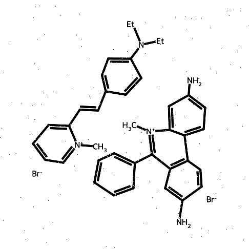 CCN(CC)c1ccc(C=Cc2cccc[n+]2C)cc1.C[n+]1c(-c2ccccc2)c2cc(N)ccc2c2ccc(N)cc21.[Br-].[Br-]